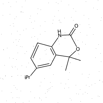 CC(C)c1ccc2c(c1)C(C)(C)OC(=O)N2